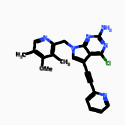 COc1c(C)cnc(Cn2cc(C#Cc3ccccn3)c3c(Cl)nc(N)nc32)c1C